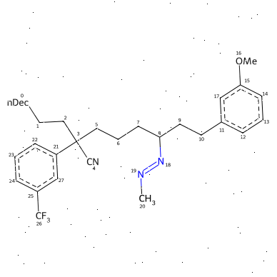 CCCCCCCCCCCCC(C#N)(CCCC(CCc1cccc(OC)c1)N=NC)c1cccc(C(F)(F)F)c1